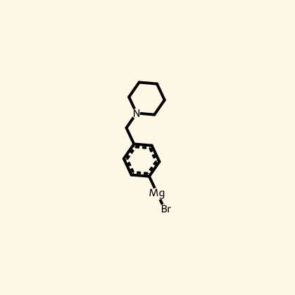 [Br][Mg][c]1ccc(CN2CCCCC2)cc1